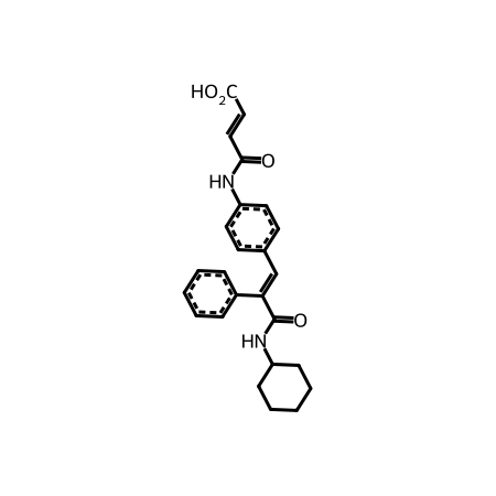 O=C(O)C=CC(=O)Nc1ccc(C=C(C(=O)NC2CCCCC2)c2ccccc2)cc1